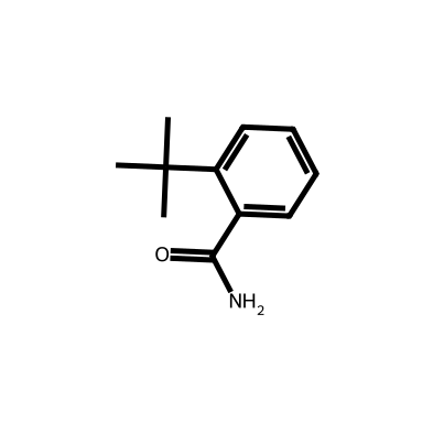 CC(C)(C)c1ccccc1C(N)=O